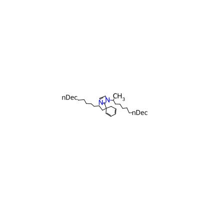 CCCCCCCCCCCCCCCCCC1(c2nccn2C(C)CCCCCCCCCCCCCCC)C=CC=CC1